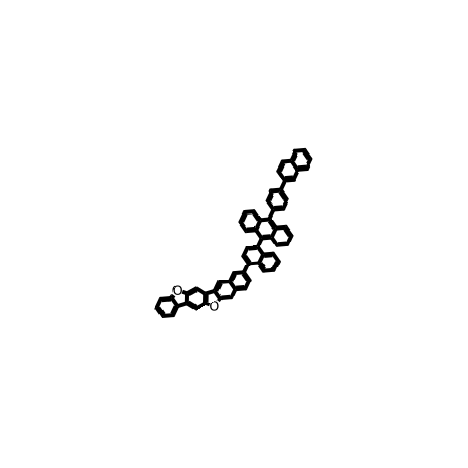 c1ccc2cc(-c3ccc(-c4c5ccccc5c(-c5ccc(-c6ccc7cc8oc9cc%10c(cc9c8cc7c6)oc6ccccc6%10)c6ccccc56)c5ccccc45)cc3)ccc2c1